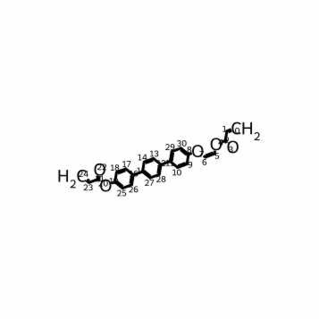 C=CC(=O)O/C=C\Oc1ccc(-c2ccc(-c3ccc(OC(=O)C=C)cc3)cc2)cc1